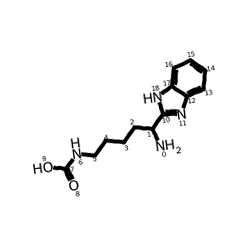 NC(CCCCNC(=O)O)c1nc2ccccc2[nH]1